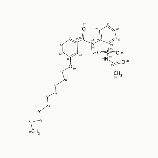 CCCCCCCCCCOc1cccc(C(=O)Nc2ccccc2S(=O)(=O)NC(C)=O)c1